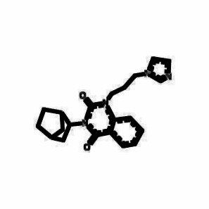 O=c1c2ccccc2n(CCCn2ccnc2)c(=O)n1C1CC2CCC1C2